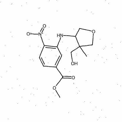 COC(=O)c1ccc([N+](=O)[O-])c(NC2COCC2(C)CO)c1